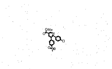 COC(=O)c1cnc(-c2ccc(Cl)cc2)c(-c2ccc(S(C)(=O)=O)cc2)c1